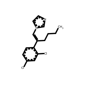 CCCCC(=Cn1ccnc1)c1ccc(Cl)cc1Cl